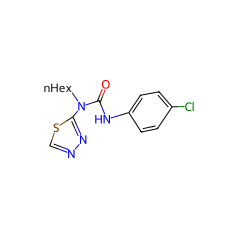 CCCCCCN(C(=O)Nc1ccc(Cl)cc1)c1nncs1